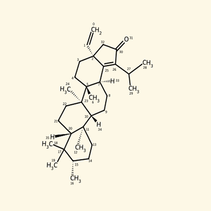 C=C[C@@]12CC[C@]3(C)[C@H](CC[C@@H]4[C@@]5(C)CC[C@H](C)C(C)(C)[C@@H]5CC[C@]43C)C1=C(C(C)C)C(=O)C2